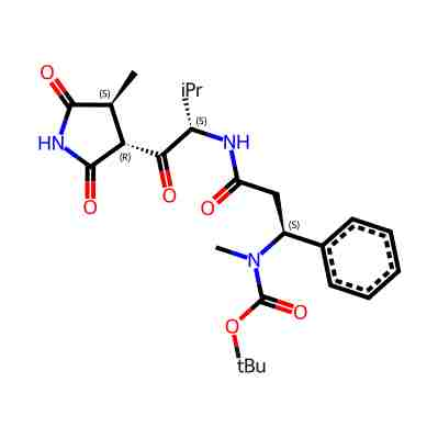 CC(C)[C@H](NC(=O)C[C@@H](c1ccccc1)N(C)C(=O)OC(C)(C)C)C(=O)[C@@H]1C(=O)NC(=O)[C@H]1C